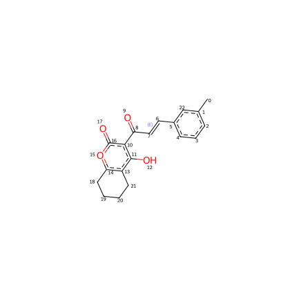 Cc1cccc(/C=C/C(=O)c2c(O)c3c(oc2=O)CCCC3)c1